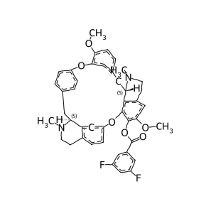 COc1ccc2cc1Oc1ccc(cc1)C[C@H]1c3cc(ccc3CCN1C)Oc1c(OC(=O)c3cc(F)cc(F)c3)c(OC)cc3c1[C@H](C2)N(C)CC3